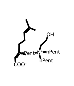 CC(C)=CCC/C(C)=C/C(=O)[O-].CCCCC[N+](CCO)(CCCCC)CCCCC